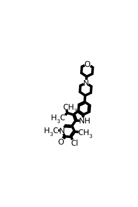 Cc1c(-c2[nH]c3ccc(C4CCN(C5CCOCC5)CC4)cc3c2C(C)C)cn(C)c(=O)c1Cl